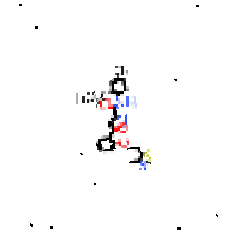 Cc1ncsc1CCOc1ccccc1-c1cc(C(=O)Nc2ccc(C#N)cc2C(=O)O)no1